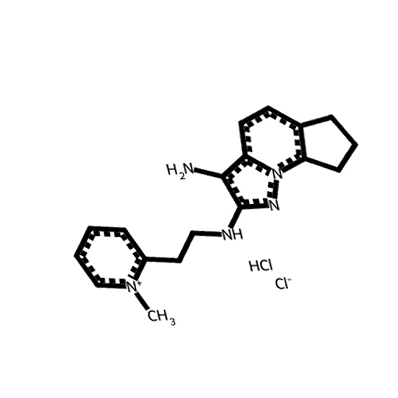 C[n+]1ccccc1CCNc1nn2c3c(ccc2c1N)CCC3.Cl.[Cl-]